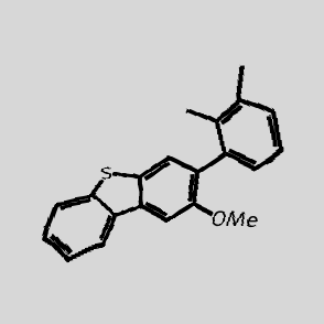 COc1cc2c(cc1-c1cccc(C)c1C)sc1ccccc12